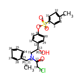 Cc1ccc(S(=O)(=O)Oc2ccc([C@@H](O)CN(C(=O)CCl)[C@H](C)c3ccccc3)cc2)cc1